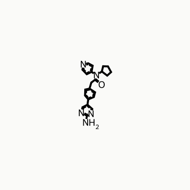 Nc1ncc(-c2ccc(CC(=O)N(c3ccncc3)C3CCCC3)cc2)cn1